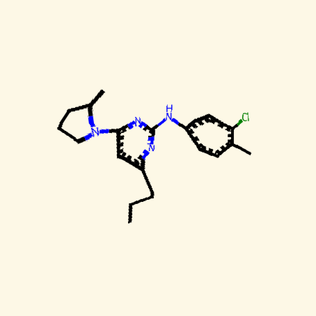 CCCc1cc(N2CCCC2C)nc(Nc2ccc(C)c(Cl)c2)n1